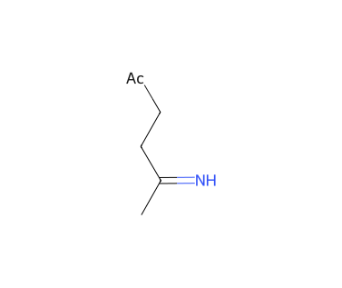 CC(=N)CCC(C)=O